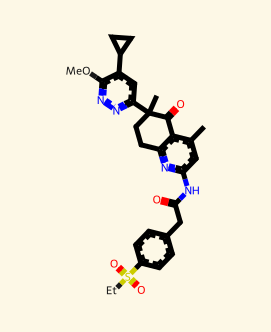 CCS(=O)(=O)c1ccc(CC(=O)Nc2cc(C)c3c(n2)CCC(C)(c2cc(C4CC4)c(OC)nn2)C3=O)cc1